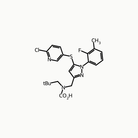 Cc1cccc(-n2nc(CN(CC(C)(C)C)C(=O)O)cc2Sc2ccc(Cl)nc2)c1F